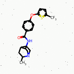 CC1CC2CCN1CC2NC(=O)c1ccc(Oc2ccc(C(F)(F)F)s2)cc1